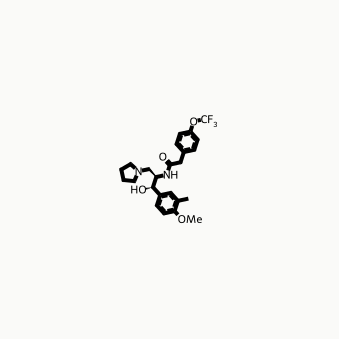 COc1ccc([C@H](O)[C@@H](CN2CCCC2)NC(=O)Cc2ccc(OC(F)(F)F)cc2)cc1C